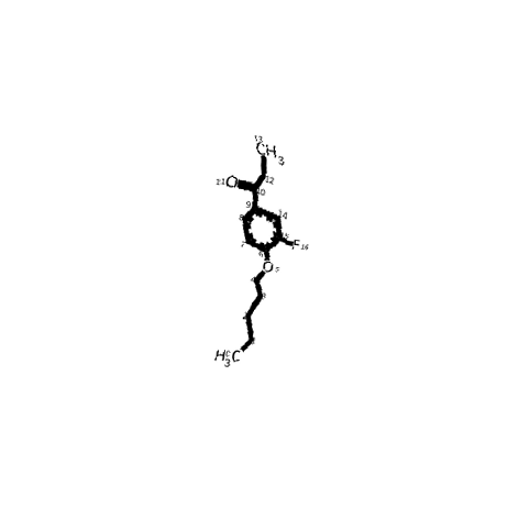 CCCCCOc1ccc(C(=O)CC)cc1F